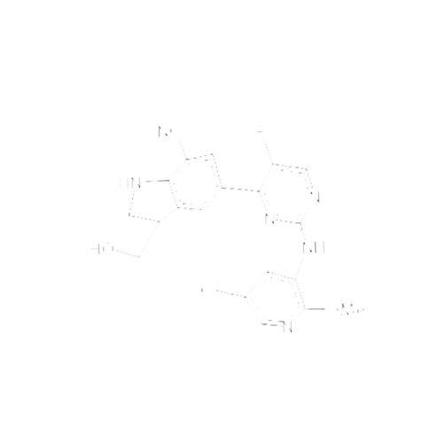 COc1ncc(Cl)cc1Nc1ncc(F)c(-c2cc(C#N)c3c(c2)[C@@](C)(CO)CN3)n1